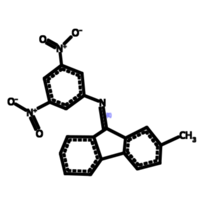 Cc1ccc2c(c1)/C(=N/c1cc([N+](=O)[O-])cc([N+](=O)[O-])c1)c1ccccc1-2